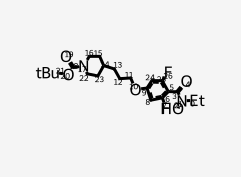 CCN(O)C(=O)c1c(F)cc(OCCCC2CCN(C(=O)OC(C)(C)C)CC2)cc1F